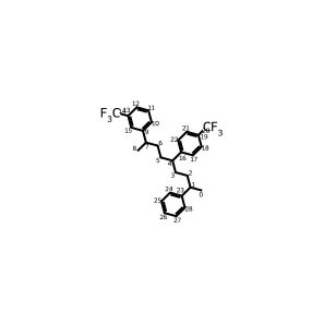 CC(CCC(CCC(C)c1cccc(C(F)(F)F)c1)c1ccc(C(F)(F)F)cc1)c1ccccc1